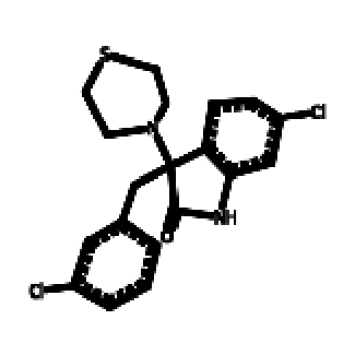 O=C1Nc2cc(Cl)ccc2C1(Cc1cccc(Cl)c1)N1CCSCC1